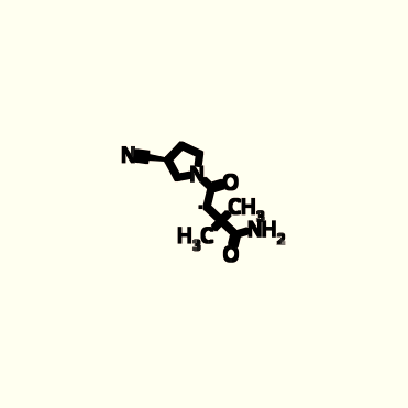 CC(C)([CH]C(=O)N1CC[C@H](C#N)C1)C(N)=O